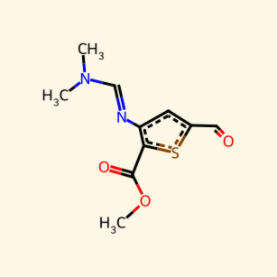 COC(=O)c1sc(C=O)cc1/N=C/N(C)C